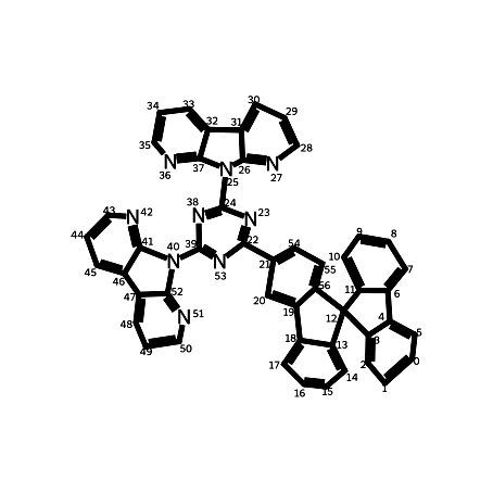 c1ccc2c(c1)-c1ccccc1C21c2ccccc2-c2cc(-c3nc(-n4c5ncccc5c5cccnc54)nc(-n4c5ncccc5c5cccnc54)n3)ccc21